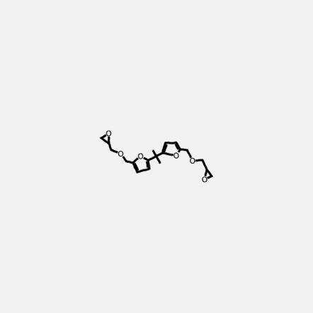 CC(C)(c1ccc(COCC2CO2)o1)c1ccc(COCC2CO2)o1